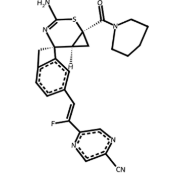 N#Cc1cnc(/C(F)=C/c2ccc3c(c2)[C@@]2(C3)N=C(N)S[C@@]3(C(=O)N4CCCCC4)C[C@H]32)cn1